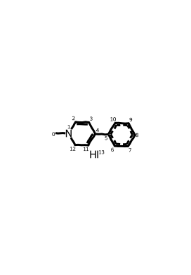 CN1C=CC(c2ccccc2)=CC1.I